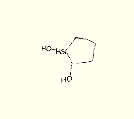 OC1CCC[SiH]1O